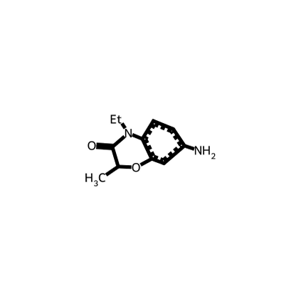 CCN1C(=O)C(C)Oc2cc(N)ccc21